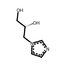 OC[C@H](O)Cn1ccnc1